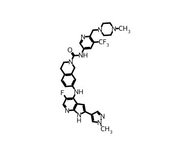 CN1CCN(Cc2ncc(NC(=O)N3CCc4ccc(Nc5c(F)cnc6[nH]c(-c7cnn(C)c7)cc56)cc4C3)cc2C(F)(F)F)CC1